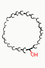 OC1CCCCCCCCCCCCCCCCCCCC1